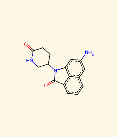 Nc1cc2c3c(cccc3c1)C(=O)N2C1CCC(=O)NC1